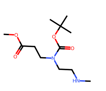 CNCCN(CCC(=O)OC)C(=O)OC(C)(C)C